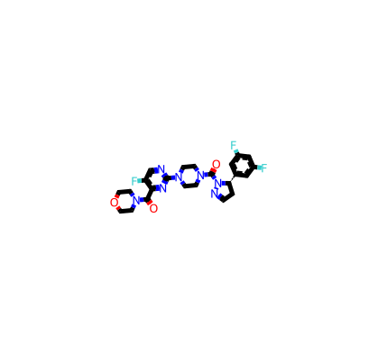 O=C(c1nc(N2CCN(C(=O)N3N=CC[C@H]3c3cc(F)cc(F)c3)CC2)ncc1F)N1CCOCC1